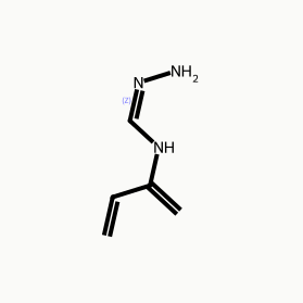 C=CC(=C)N/C=N\N